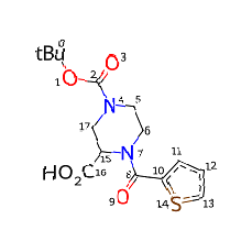 CC(C)(C)OC(=O)N1CCN(C(=O)c2cccs2)C(C(=O)O)C1